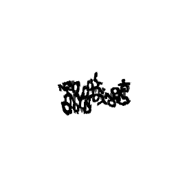 CCC(C)C([C@@H](CC(=O)N1CCC[C@H]1C(OC)C(C)C(=O)NC(Cc1ccccc1)c1nccs1)OC)N(C)C(=O)[C@@H](NC(=O)[C@]1(C)CCCCN1C(=O)OC(C)(C)C)C(C)C